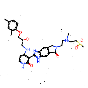 Cc1ccc(OC[C@H](O)CNc2cc[nH]c(=O)c2-c2nc3cc4c(cc3[nH]2)C(=O)N(CCN(C)CCS(C)(=O)=O)C4)c(C)c1